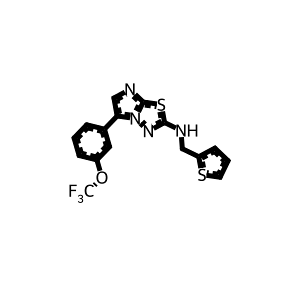 FC(F)(F)Oc1cccc(-c2cnc3sc(NCc4cccs4)nn23)c1